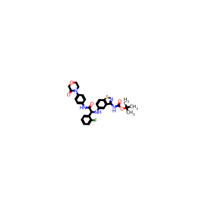 CC(C)(C)OC(=O)Nc1nsc2ccc(NC(C(=O)Nc3ccc(N4CCOCC4=O)cc3)c3ccccc3F)cc12